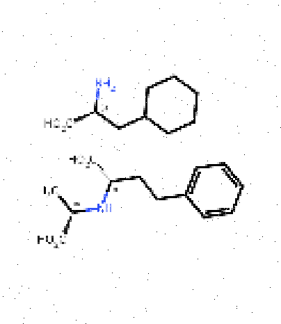 C[C@@H](N[C@@H](CCc1ccccc1)C(=O)O)C(=O)O.N[C@@H](CC1CCCCC1)C(=O)O